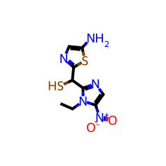 CCn1c([N+](=O)[O-])cnc1C(S)c1ncc(N)s1